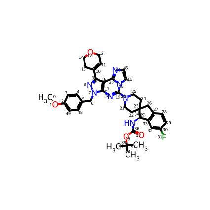 COc1ccc(Cn2nc(C3=CCOCC3)c3c2nc(N2CCC4(CC2)Cc2ccc(F)cc2[C@H]4NC(=O)OC(C)(C)C)n2ccnc32)cc1